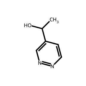 CC(O)c1ccnnc1